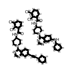 O=C(NC1CCN(c2ncnc3cc(C#Cc4ccccc4)ccc23)CC1)c1cccc(Cl)c1Cl.O=C(NC1CCN(c2ncnc3cc(Nc4ccccc4)ccc23)CC1)c1cccc(Cl)c1Cl